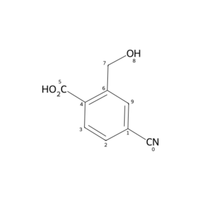 N#Cc1ccc(C(=O)O)c(CO)c1